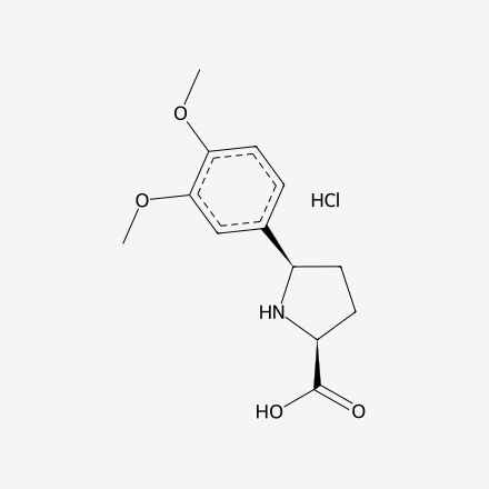 COc1ccc([C@H]2CC[C@@H](C(=O)O)N2)cc1OC.Cl